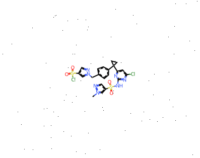 Cn1cc(S(=O)(=O)Nc2nc(Cl)cc(C3(c4ccc(Cn5cc(S(=O)(=O)Cl)cn5)cc4)CC3)n2)cn1